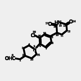 O=CCC1CCN(c2ccc(C3CCC(=O)NC3=O)cc2Cl)CC1